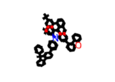 CC(C)(C)c1cc(-c2cccc3cccc(-c4ccccc4N(c4ccc(-c5ccc6c(c5)C(C)(c5ccccc5)c5ccccc5-6)cc4)c4cccc(-c5cccc6oc7ccccc7c56)c4)c23)cc(C(C)(C)C)c1